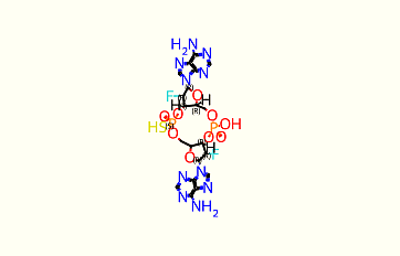 Nc1ncnc2c1ncn2[C@@H]1O[C@@H]2COP(=O)(O)O[C@@H]3C(CO[P@](=O)(S)O[C@H]2[C@H]1F)O[C@@H](n1cnc2c(N)ncnc21)[C@@H]3F